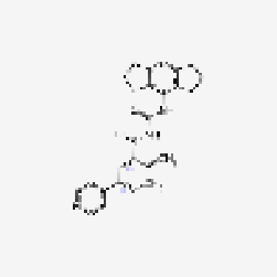 C=C/C(=C\C(=C/C)c1ccncc1)[S+]([O-])NC(=O)Nc1c2c(cc3c1CCC3)CCC2